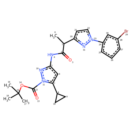 CC(C(=O)Nc1cc(C2CC2)n(C(=O)OC(C)(C)C)n1)c1ccn(-c2cccc(Br)c2)n1